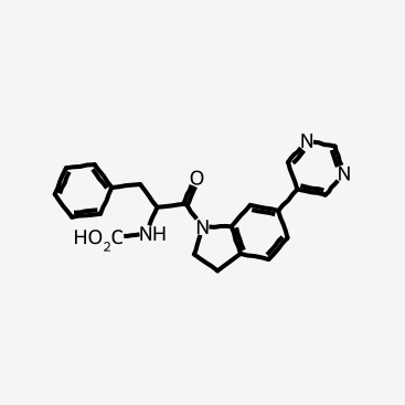 O=C(O)NC(Cc1ccccc1)C(=O)N1CCc2ccc(-c3cncnc3)cc21